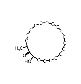 CC1CCCCCCCCCCCCCCCCCC(O)C1=O